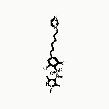 Cc1nn(C)c(C)c1N(C)S(=O)(=O)c1c(Cl)cc(CCCCCCn2ccnc2)cc1Cl